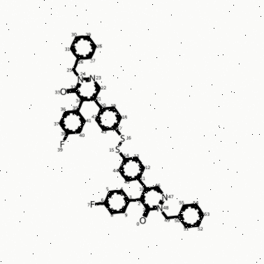 O=c1c(-c2ccc(F)cc2)c(-c2ccc(SSc3ccc(-c4cnn(Cc5ccccc5)c(=O)c4-c4ccc(F)cc4)cc3)cc2)cnn1Cc1ccccc1